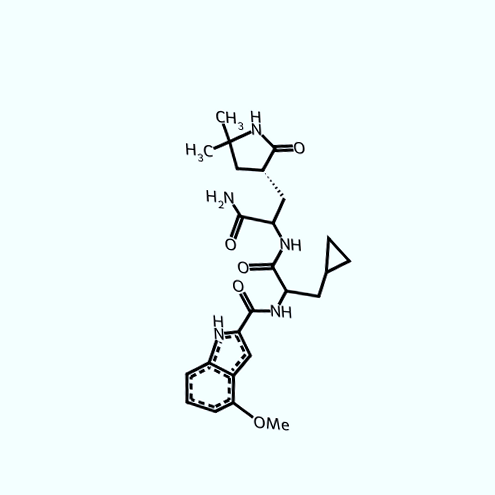 COc1cccc2[nH]c(C(=O)NC(CC3CC3)C(=O)NC(C[C@@H]3CC(C)(C)NC3=O)C(N)=O)cc12